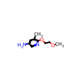 COCCOc1ncc(N)cc1C